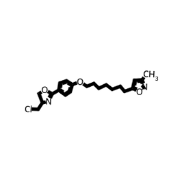 Cc1cc(CCCCCCCOc2ccc(C3=NC(CCl)CO3)cc2)on1